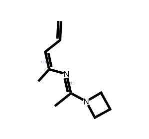 C=C/C=C(C)\N=C(/C)N1CCC1